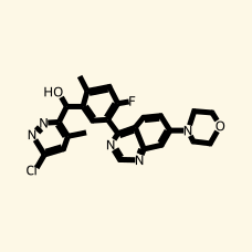 Cc1cc(F)c(-c2ncnc3cc(N4CCOCC4)ccc23)cc1C(O)c1nnc(Cl)cc1C